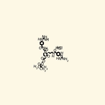 CC(C)(C)C(=O)OCOC(=O)CN1CCN(C(=O)CNC(=O)c2ccc(NC(=N)N)cc2)[C@@H](CCCNC(=O)c2ccc(NC(=N)N)cc2)C1=O.Cl.Cl